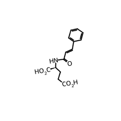 O=C(O)CC[C@H](NC(=O)C=Cc1ccccc1)C(=O)O